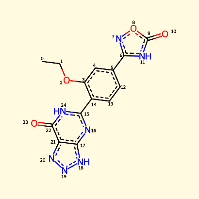 CCOc1cc(-c2noc(=O)[nH]2)ccc1-c1nc2[nH]nnc2c(=O)[nH]1